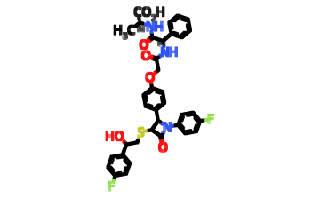 C[C@H](NC(=O)[C@H](NC(=O)COc1ccc(C2C(SCC(O)c3ccc(F)cc3)C(=O)N2c2ccc(F)cc2)cc1)c1ccccc1)C(=O)O